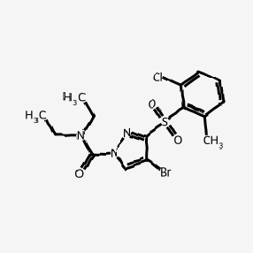 CCN(CC)C(=O)n1cc(Br)c(S(=O)(=O)c2c(C)cccc2Cl)n1